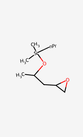 CCC[Si](C)(C)OC(C)CC1CO1